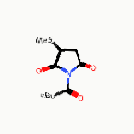 CCCCC(=O)N1C(=O)CC(SC)C1=O